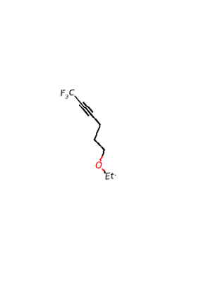 C[CH]OCCCC#CC(F)(F)F